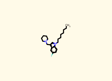 CCCCCCCCn1cc(CN2CCCCC2)c2cc(F)ccc21